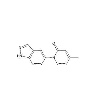 Cc1ccn(-c2ccc3[nH]ncc3c2)c(=O)c1